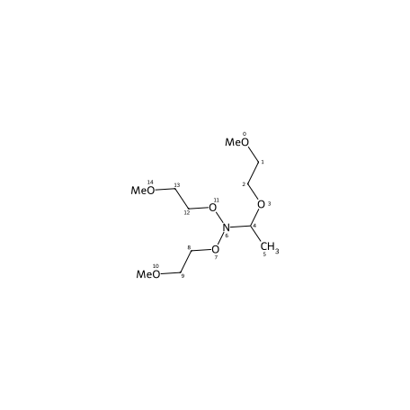 COCCOC(C)N(OCCOC)OCCOC